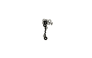 O=c1oc2ccc(OCCCCCCOc3ccccc3)cc2c(O)c1[N+](=O)[O-]